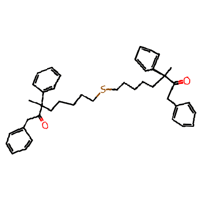 CC(CCCCCSCCCCCC(C)(C(=O)Cc1ccccc1)c1ccccc1)(C(=O)Cc1ccccc1)c1ccccc1